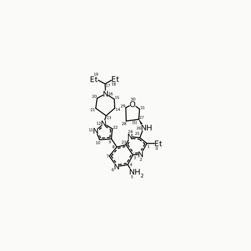 CCc1nc2c(N)ncc(-c3cnn(C4CCN(C(CC)CC)CC4)c3)c2nc1N[C@H]1CCOC1